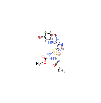 COC(=O)CNC(Sc1nonc1/C(=N/O)Nc1ccc(F)c(Br)c1)[PH](=O)NCC(=O)OC